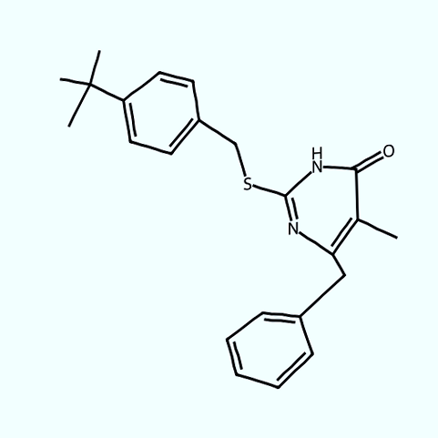 Cc1c(Cc2ccccc2)nc(SCc2ccc(C(C)(C)C)cc2)[nH]c1=O